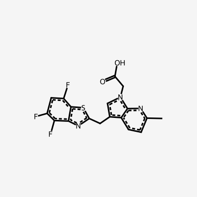 Cc1ccc2c(Cc3nc4c(F)c(F)cc(F)c4s3)cn(CC(=O)O)c2n1